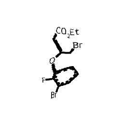 CCOC(=O)/C=C(\CBr)Oc1cccc(Br)c1F